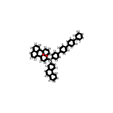 c1ccc(-c2ccc(-c3ccc(-c4ccc(N(c5ccc(-c6cccc7cccc(-c8ccccc8)c67)cc5)c5ccc6c(ccc7ccccc76)c5)cc4)cc3)cc2)cc1